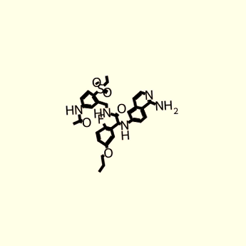 CCCOc1ccc(F)c(C(Nc2ccc3c(N)nccc3c2)C(=O)NCc2cc(NC(C)=O)ccc2S(=O)(=O)CC)c1